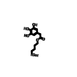 CCCCCCCCCCCCCCOC(=O)Cc1cc(O)c(O)c(O)c1